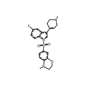 CN1CC=C(c2cn(S(=O)(=O)c3ccc4c(c3)OCCN4C)c3ccc(F)cc23)CC1